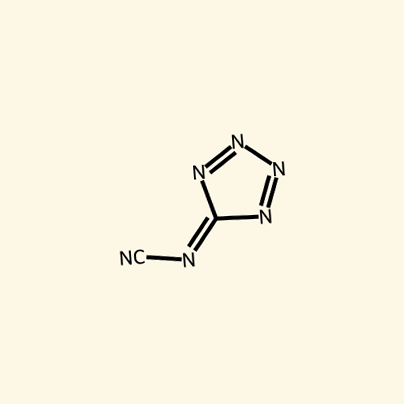 N#CN=C1N=NN=N1